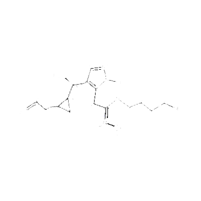 C[C@@H](c1cnn(C)c1C/C(=N/O)NCCCCN)C1CC1CC=O